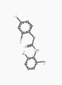 O=C(Cc1ccc(Cl)cc1F)Nc1c(Br)cccc1Br